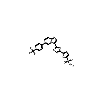 NS(=O)(=O)c1ccc(-c2noc(-c3cnc4ccc(-c5ccc(C(F)(F)F)cc5)cn34)n2)s1